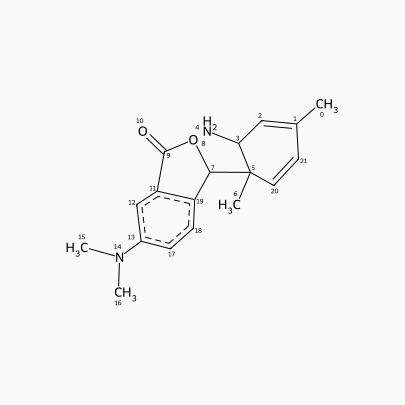 CC1=CC(N)C(C)(C2OC(=O)c3cc(N(C)C)ccc32)C=C1